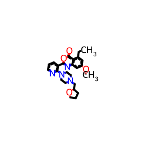 CCc1cc(OC)cc2nc(-c3cccnc3N3CCN(CC4CCCO4)CC3)oc(=O)c12